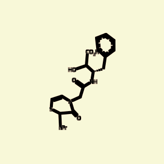 CCCC1SC=CN(CC(=O)N[C@@H](Cc2ccccc2)C(O)C(=O)O)C1=O